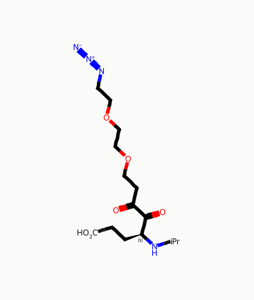 CC(C)N[C@@H](CCC(=O)O)C(=O)C(=O)CCOCCOCCN=[N+]=[N-]